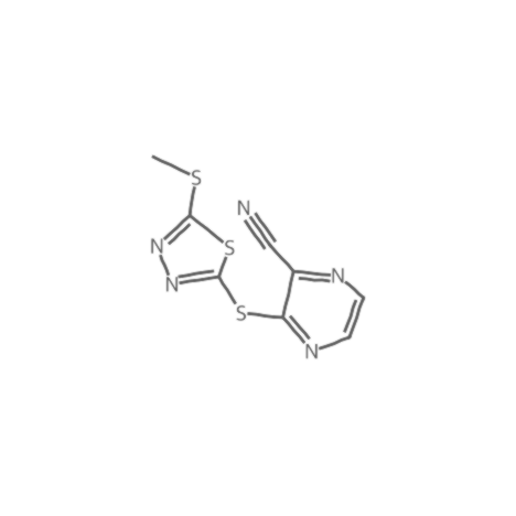 CSc1nnc(Sc2nccnc2C#N)s1